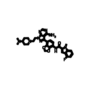 CN(C)C1CCN(CCn2nc(-c3ccc(NC(=O)c4cc5c(F)cccc5n4C)c4c3OCO4)c3c(N)ncnc32)CC1